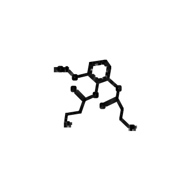 CCCCCCCCOc1cccc(OC(=O)CCC(C)C)c1OC(=O)CCC(C)C